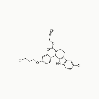 C#CCOC(=O)N1CCc2c([nH]c3ccc(Cl)cc23)C1c1ccc(OCCCCl)cc1